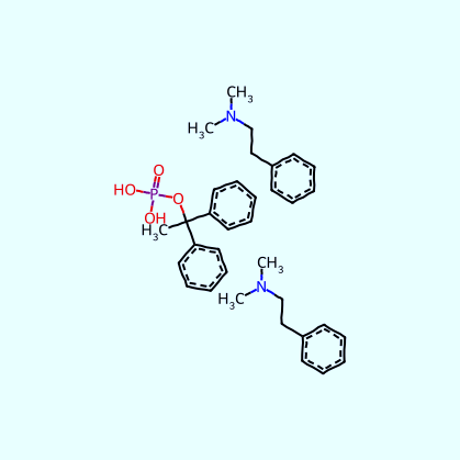 CC(OP(=O)(O)O)(c1ccccc1)c1ccccc1.CN(C)CCc1ccccc1.CN(C)CCc1ccccc1